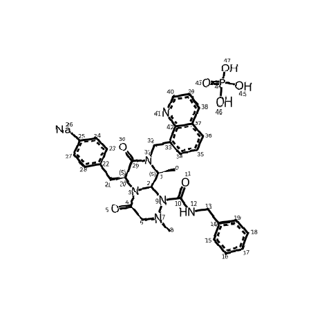 C[C@H]1C2N(C(=O)CN(C)N2C(=O)NCc2ccccc2)[C@@H](Cc2cc[c]([Na])cc2)C(=O)N1Cc1cccc2cccnc12.O=P(O)(O)O